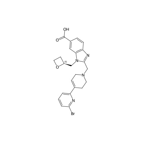 O=C(O)c1ccc2nc(CN3CC=C(c4cccc(Br)n4)CC3)n(C[C@@H]3CCO3)c2c1